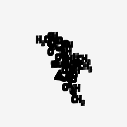 C=CCNC(=O)C(=O)C(CC1CC1)NC(=O)[C@@H]1[C@@H]2[C@H](CN1C(=O)[C@@H](NC(=O)N[C@@H](CN1C(=O)CC(C)(C)CC1=O)C(C)(C)C)C(C)(C)C)C2(C)C